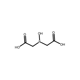 O=C(O)CN(O)CC(=O)O